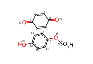 O=C1C=CC(=O)C=C1.O=S(=O)(O)Oc1ccc(O)cc1